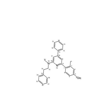 Cc1cc(O)ccc1-c1cc(-c2ccccc2)cc(N(C)CCc2ccccc2)n1